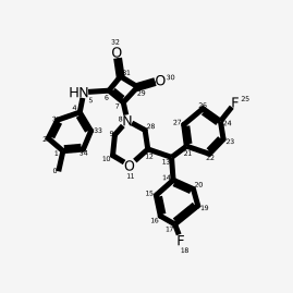 Cc1ccc(Nc2c(N3CCOC(C(c4ccc(F)cc4)c4ccc(F)cc4)C3)c(=O)c2=O)cc1